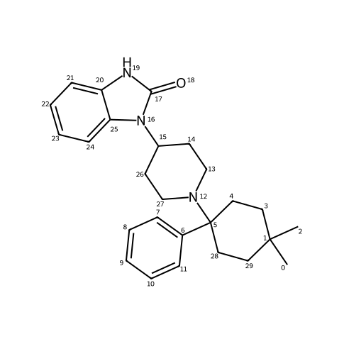 CC1(C)CCC(c2ccccc2)(N2CCC(n3c(=O)[nH]c4ccccc43)CC2)CC1